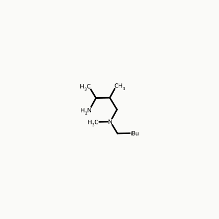 CCC(C)CN(C)CC(C)C(C)N